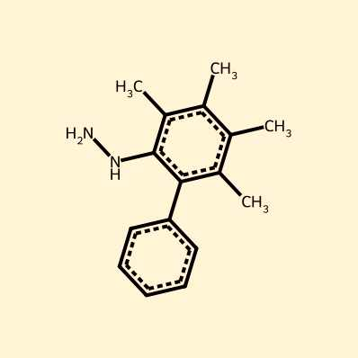 Cc1c(C)c(C)c(-c2ccccc2)c(NN)c1C